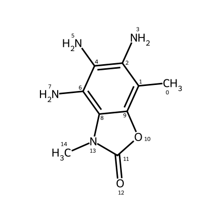 Cc1c(N)c(N)c(N)c2c1oc(=O)n2C